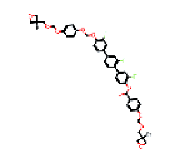 CCC1(COCOc2ccc(OCOc3ccc(-c4ccc(-c5ccc(OC(=O)c6ccc(OCOCC7(CC)COC7)cc6)c(F)c5)c(F)c4)cc3F)cc2)COC1